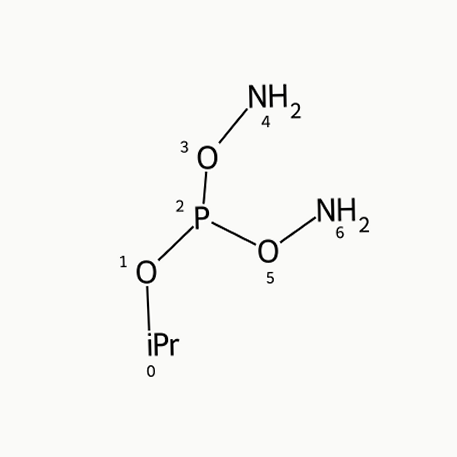 CC(C)OP(ON)ON